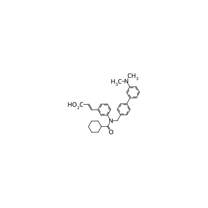 CN(C)c1cccc(-c2ccc(CN(C(=O)C3CCCCC3)c3cccc(C=CC(=O)O)c3)cc2)c1